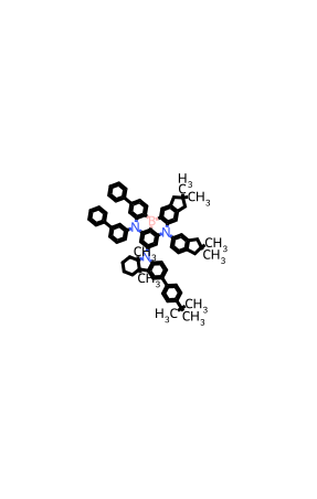 CC1(C)Cc2ccc(N3c4cc5c(cc4B4c6ccc(-c7ccccc7)cc6N(c6cccc(-c7ccccc7)c6)c6cc(N7c8ccc(-c9ccc(C(C)(C)C)cc9)cc8C8(C)CCCCC78C)cc3c64)CC(C)(C)C5)cc2C1